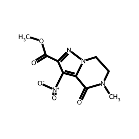 COC(=O)c1nn2c(c1[N+](=O)[O-])C(=O)N(C)CC2